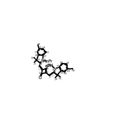 CCCN1/C(=C\C2=C(O)C(=C\C3=[N+](CCC)c4ccc(C)cc4C3(C)C)/C2=O)C(C)(C)c2cc(C)ccc21